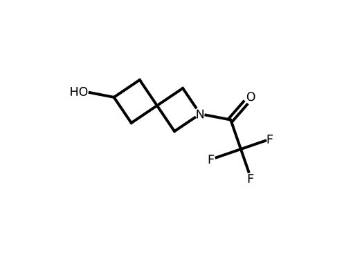 O=C(N1CC2(CC(O)C2)C1)C(F)(F)F